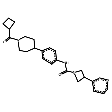 O=C(Nc1ccc(C2CCN(C(=O)C3CCC3)CC2)cc1)N1CC(c2cccnn2)C1